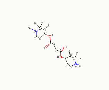 CC1C(OC(=O)CCC(=O)OC2CCN(C)C(C)(C)C2C)CCN(C)C1(C)C